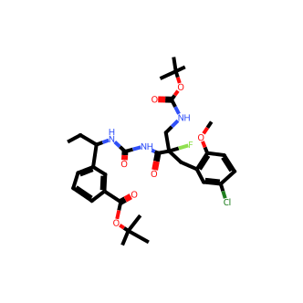 CCC(NC(=O)NC(=O)C(F)(CNC(=O)OC(C)(C)C)Cc1cc(Cl)ccc1OC)c1cccc(C(=O)OC(C)(C)C)c1